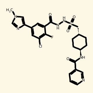 Cn1cnc(-c2cc(Cl)c(F)c(C(=O)NNS(=O)(=O)C[C@H]3CC[C@H](NC(=O)c4cccnc4)CC3)c2)c1